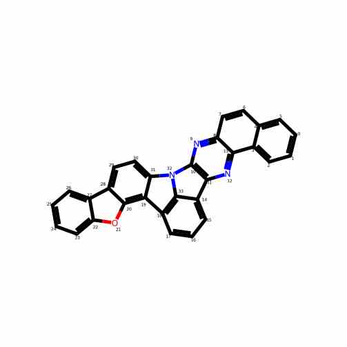 c1ccc2c(c1)ccc1nc3c(nc12)c1cccc2c4c5oc6ccccc6c5ccc4n3c12